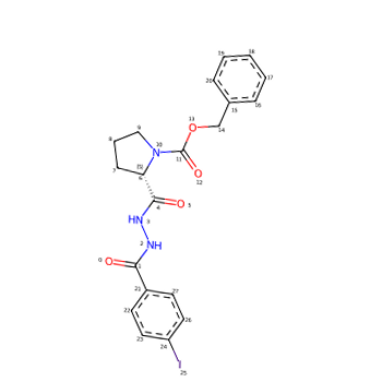 O=C(NNC(=O)[C@@H]1CCCN1C(=O)OCc1ccccc1)c1ccc(I)cc1